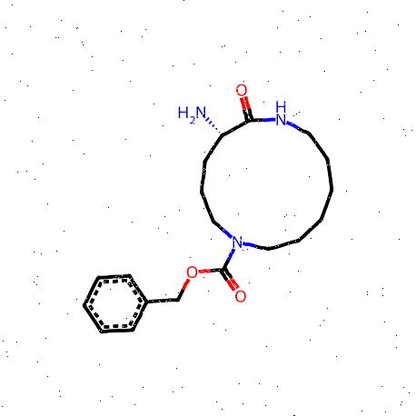 N[C@H]1CCCN(C(=O)OCc2ccccc2)CCCCCCNC1=O